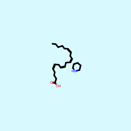 C1CCNCC1.CCCCC/C=C\C/C=C\C/C=C\C/C=C\CCCC(=O)O